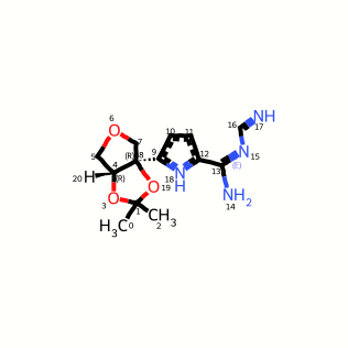 CC1(C)O[C@@H]2COC[C@@]2(c2ccc(/C(N)=N\C=N)[nH]2)O1